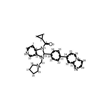 O=C(C1CC1)N1c2ccncc2N(CN2CCCC2)C1c1ccc(-c2ccn3ccnc3c2)cc1